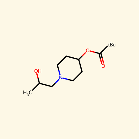 CC(O)CN1CCC(OC(=O)C(C)(C)C)CC1